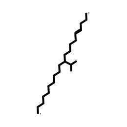 [CH2]CCC=CCCCCC(CCCCCCCCC[CH2])C(C)C